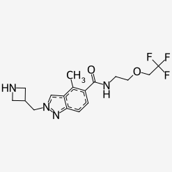 Cc1c(C(=O)NCCOCC(F)(F)F)ccc2nn(CC3CNC3)cc12